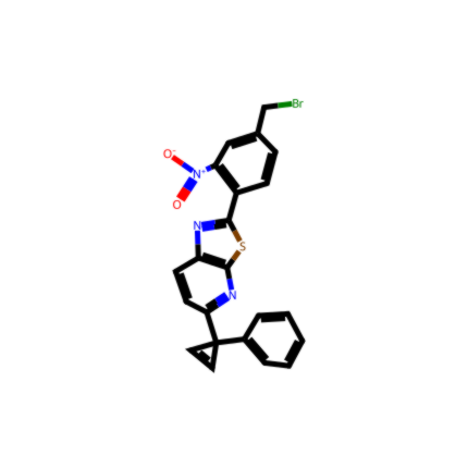 O=[N+]([O-])c1cc(CBr)ccc1-c1nc2ccc(C3(c4ccccc4)C=C3)nc2s1